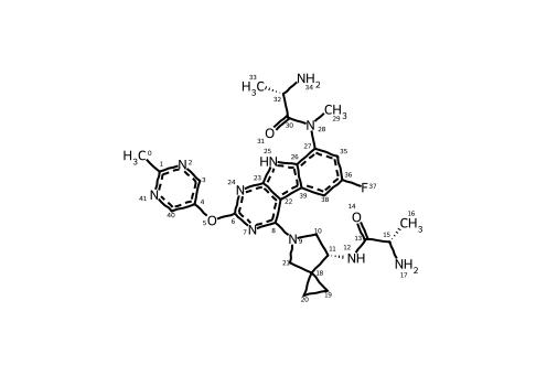 Cc1ncc(Oc2nc(N3C[C@H](NC(=O)[C@H](C)N)C4(CC4)C3)c3c(n2)[nH]c2c(N(C)C(=O)[C@H](C)N)cc(F)cc23)cn1